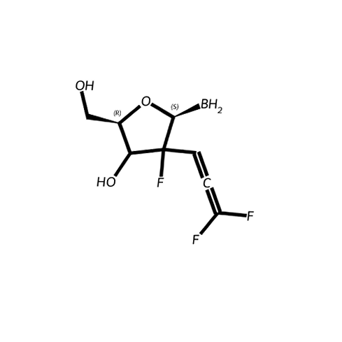 B[C@@H]1O[C@H](CO)C(O)C1(F)C=C=C(F)F